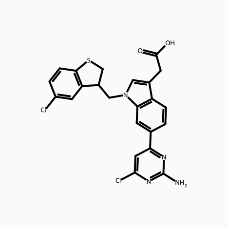 Nc1nc(Cl)cc(-c2ccc3c(CC(=O)O)cn(CC4CSc5ccc(Cl)cc54)c3c2)n1